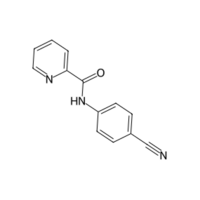 N#Cc1ccc(NC(=O)c2ccccn2)cc1